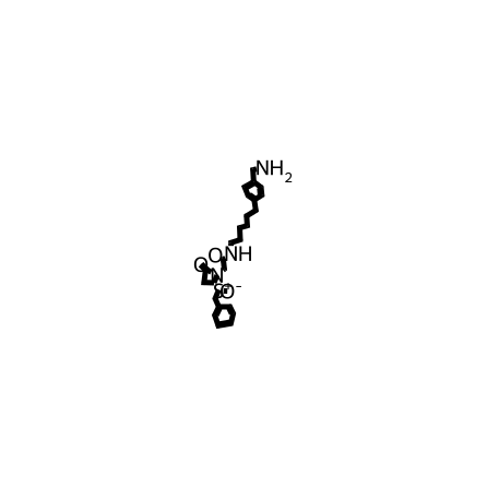 NCc1ccc(CCCCCCNC(=O)CN2C(=O)CC2[S+]([O-])Cc2ccccc2)cc1